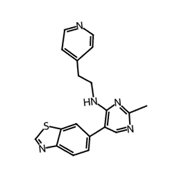 Cc1ncc(-c2ccc3ncsc3c2)c(NCCc2ccncc2)n1